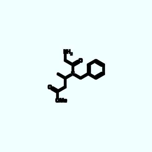 COC(=O)CC(C)N(Cc1ccccc1)C(=O)CN